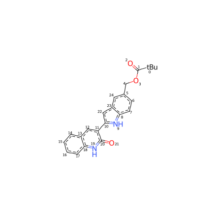 CC(C)(C)C(=O)OCc1ccc2[nH]c(-c3cc4ccccc4[nH]c3=O)cc2c1